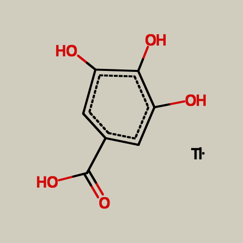 O=C(O)c1cc(O)c(O)c(O)c1.[Tl]